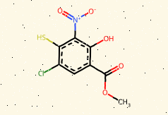 COC(=O)c1cc(Cl)c(S)c([N+](=O)[O-])c1O